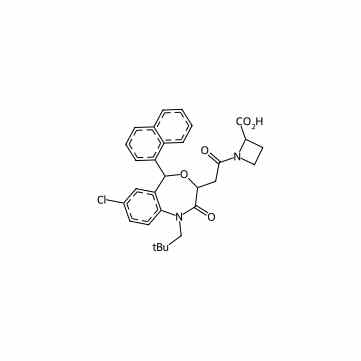 CC(C)(C)CN1C(=O)C(CC(=O)N2CCC2C(=O)O)OC(c2cccc3ccccc23)c2cc(Cl)ccc21